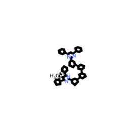 C[Si]1(C)c2ccccc2-c2nc(-c3cccc(-c4cccc(-c5cccc(-c6cccc(-c7nc(-c8ccccc8)cc(-c8ccccc8)n7)c6)c5)c4)c3)nc(-c3ccccc3)c21